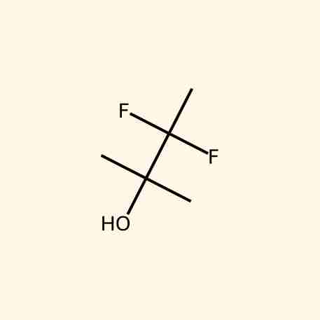 CC(C)(O)C(C)(F)F